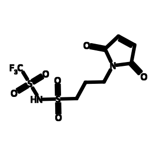 O=C1C=CC(=O)N1CCCS(=O)(=O)NS(=O)(=O)C(F)(F)F